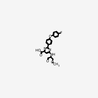 COCC(C=O)Nc1cc(C(=O)O)nc(-c2ccc(Oc3ccc(F)cc3)cc2)n1